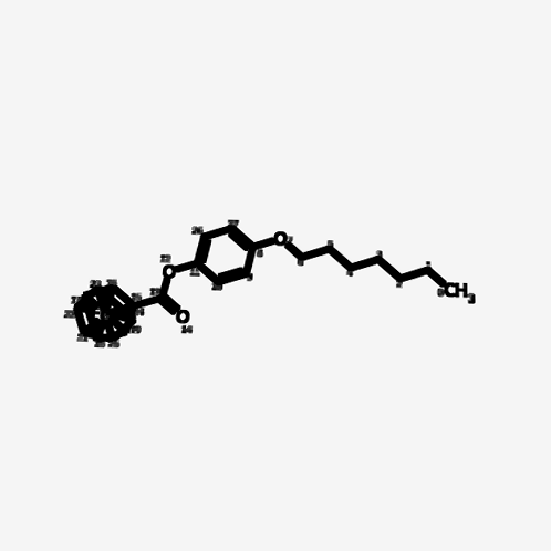 CCCCCCCOc1ccc(OC(=O)[C]23[CH]4[CH]5[CH]6[CH]2[Fe]56432789[CH]3[CH]2[CH]7[CH]8[CH]39)cc1